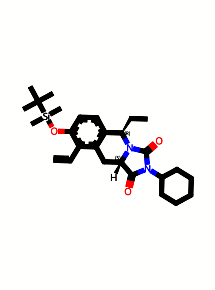 C=Cc1c(O[Si](C)(C)C(C)(C)C)ccc2c1C[C@H]1C(=O)N(C3CCCCC3)C(=O)N1[C@@H]2CC